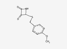 COc1ccc(CSC2NC(=O)C2=O)cc1